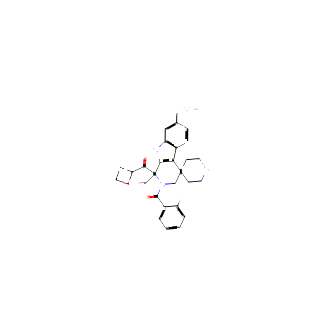 COc1ccc2c3c([nH]c2c1)C(CO)(C(=O)C1CCC1)N(C(=O)c1ccccc1F)CC31CCNCC1